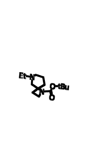 CCN1CCCC2(CCN2C(=O)OC(C)(C)C)C1